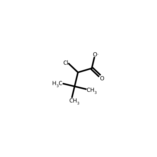 CC(C)(C)C(Cl)C([O])=O